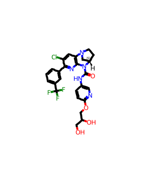 O=C(Nc1ccc(OCC(O)CO)nc1)N1c2nc(-c3cccc(C(F)(F)F)c3)c(Cl)cc2N2CC[C@H]1C2